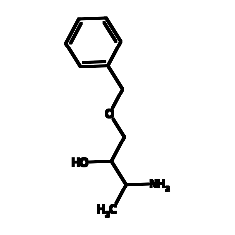 CC(N)C(O)COCc1ccccc1